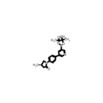 C[C@@H]1CC(=O)N(c2ccc(-c3cncc(B4OC(C)(C)C(C)(C)O4)c3)cc2)C1